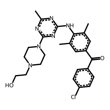 Cc1nc(Nc2c(C)cc(C(=O)c3ccc(Cl)cc3)cc2C)nc(N2CCN(CCO)CC2)n1